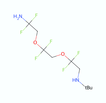 CC(C)(C)NCC(F)(F)OCC(F)(F)OCC(N)(F)F